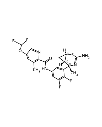 Cc1cc(OC(F)F)cnc1C(=O)Nc1cc(F)c(F)c([C@@]2(C)N=C(N)S[C@H]3C[C@H]32)c1